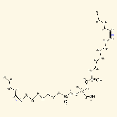 [CH2]C(CO)(COC(=O)CCCCCCC/C=C\CCCC)COC(=O)CCCCCCC/C=C\CCCC